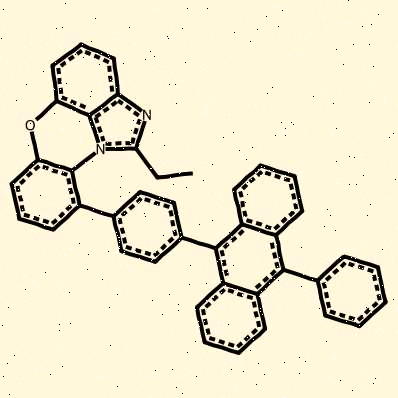 CCc1nc2cccc3c2n1-c1c(cccc1-c1ccc(-c2c4ccccc4c(-c4ccccc4)c4ccccc24)cc1)O3